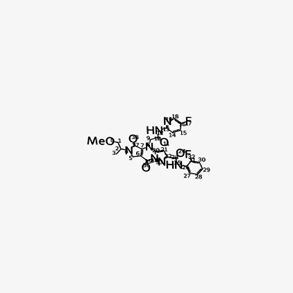 COCC(C)N1Cc2c(n(CC(=O)Nc3ccc(F)cn3)c3cc(C(=O)Nc4ccccc4F)nn3c2=O)C1=O